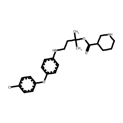 CC(C)(CCNc1ccc(Oc2ccc(Cl)cc2)cc1)OC(=O)C1CCCNC1